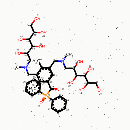 Cc1c(CN(C)CC(O)C(O)C(O)C(O)CO)cc(C(=O)P(=O)(c2ccccc2)c2ccccc2)c(C)c1CN(C)CC(O)C(O)C(O)C(O)CO